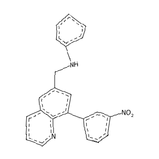 O=[N+]([O-])c1cccc(-c2cc(CNc3ccccc3)cc3cccnc23)c1